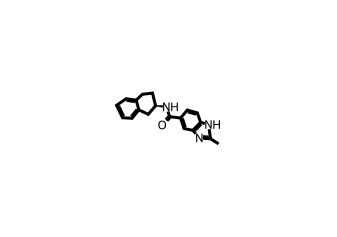 Cc1nc2cc(C(=O)N[C@@H]3CCc4ccccc4C3)ccc2[nH]1